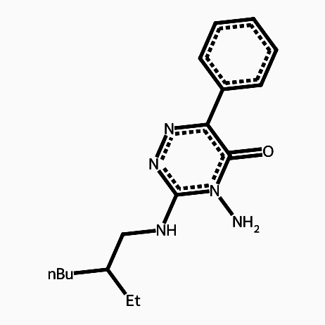 CCCCC(CC)CNc1nnc(-c2ccccc2)c(=O)n1N